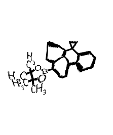 CC1(C)OB(c2ccc3c4c(cccc24)C2(CC2)c2ccccc2-3)OC1(C)C